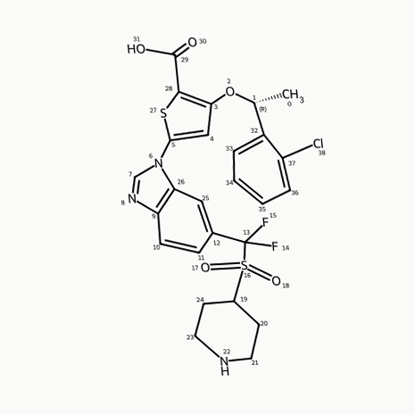 C[C@@H](Oc1cc(-n2cnc3ccc(C(F)(F)S(=O)(=O)C4CCNCC4)cc32)sc1C(=O)O)c1ccccc1Cl